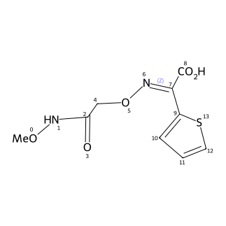 CONC(=O)CO/N=C(/C(=O)O)c1cccs1